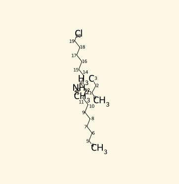 CCCC.CCCCCCCCCCCCCCCCCl.CN